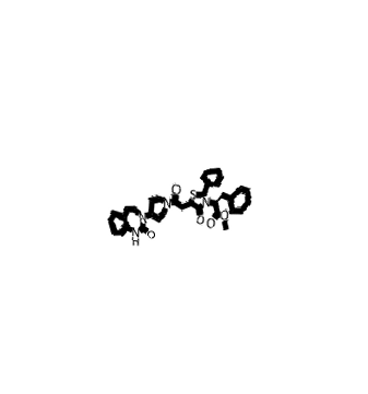 COC(=O)[C@H](CC1CCCCC1)N1C(=O)C(CC(=O)N2CCC(N3CCc4ccccc4NC3=O)CC2)SC1c1ccccc1